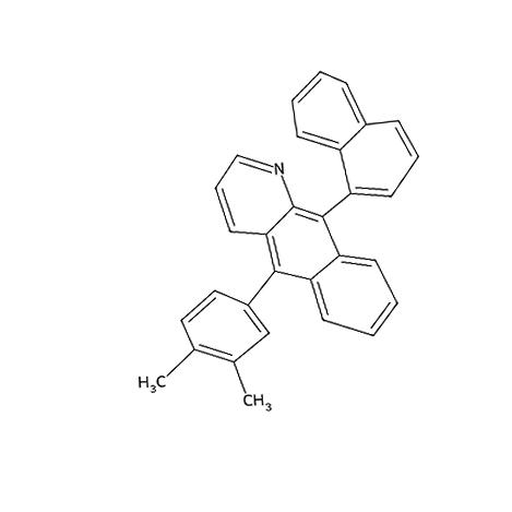 Cc1ccc(-c2c3ccccc3c(-c3cccc4ccccc34)c3ncccc23)cc1C